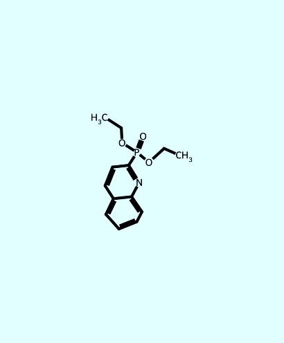 CCOP(=O)(OCC)c1ccc2ccccc2n1